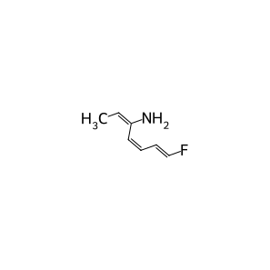 C\C=C(N)/C=C\C=C\F